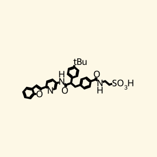 CC(C)(C)c1ccc(C(Cc2ccc(C(=O)NCCS(=O)(=O)O)cc2)C(=O)Nc2ccc(-c3cc4ccccc4o3)nc2)cc1